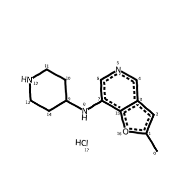 Cc1cc2cncc(NC3CCNCC3)c2o1.Cl